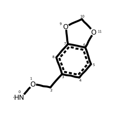 [NH]OCc1ccc2c(c1)OCO2